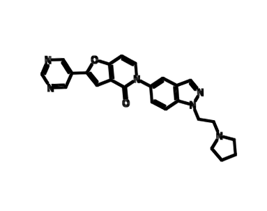 O=c1c2cc(-c3cncnc3)oc2ccn1-c1ccc2c(cnn2CCN2CCCC2)c1